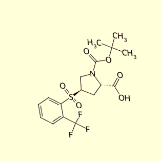 CC(C)(C)OC(=O)N1C[C@H](S(=O)(=O)c2ccccc2C(F)(F)F)C[C@H]1C(=O)O